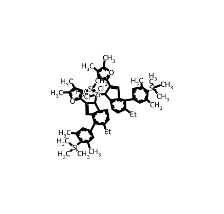 CCc1ccc2c(c1-c1cc(C)c([Si](C)(C)C)c(C)c1)C=C(c1cc(C)c(C)o1)[CH]2[Zr]([Cl])([Cl])([CH]1C(c2cc(C)c(C)o2)=Cc2c1ccc(CC)c2-c1cc(C)c([Si](C)(C)C)c(C)c1)=[Si](C)C